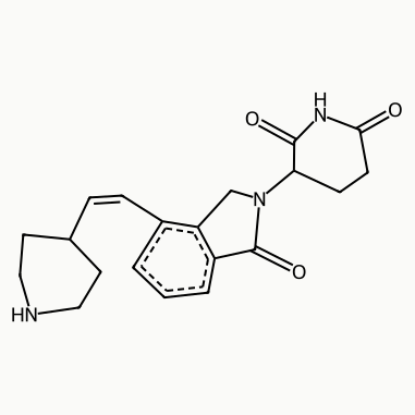 O=C1CCC(N2Cc3c(/C=C\C4CCNCC4)cccc3C2=O)C(=O)N1